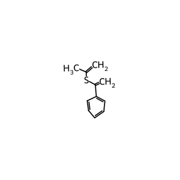 C=C(C)SC(=C)c1ccccc1